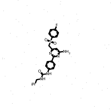 CC(C)CNC(=O)Nc1ccc(-c2nc(N)cc(CS(=O)(=O)c3ccc(F)cc3)n2)cc1